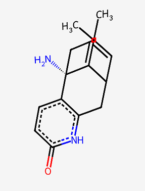 C/C=C1/C2C=C(C)C[C@]1(N)c1ccc(=O)[nH]c1C2